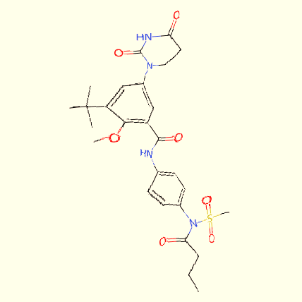 CCCC(=O)N(c1ccc(NC(=O)c2cc(N3CCC(=O)NC3=O)cc(C(C)(C)C)c2OC)cc1)S(C)(=O)=O